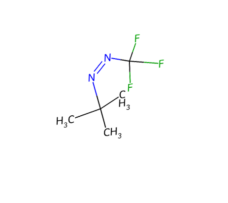 CC(C)(C)/N=N\C(F)(F)F